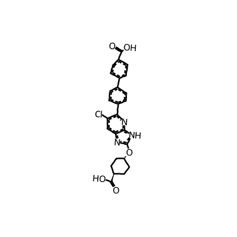 O=C(O)c1ccc(-c2ccc(-c3nc4[nH]c(O[C@H]5CC[C@H](C(=O)O)CC5)nc4cc3Cl)cc2)cc1